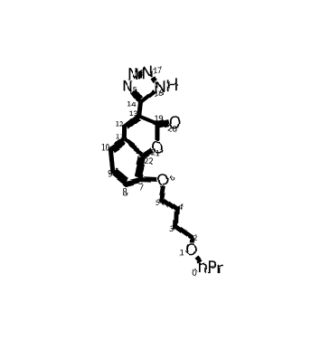 CCCOCCCCOc1cccc2cc(-c3nnn[nH]3)c(=O)oc12